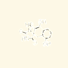 O=C1NC(=O)C2(Cc3c(O)cccc3C(O)=C2O)N1